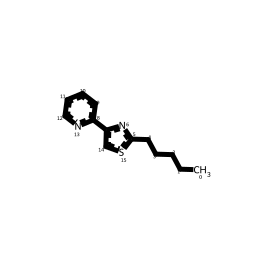 CCCCCc1nc(-c2ccccn2)cs1